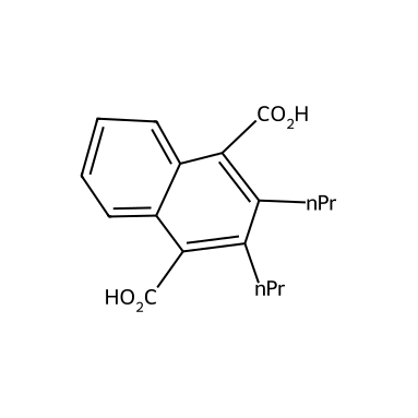 CCCc1c(CCC)c(C(=O)O)c2ccccc2c1C(=O)O